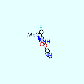 COc1cc(F)ccc1-c1cc(NC(=O)OCc2ccc3c(c2)nc2n3CCC2)n(C)n1